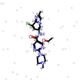 CCOc1nc(N2CCN(C)CC2)ncc1C(=O)Nc1cc(F)c2nc(C)cn2c1